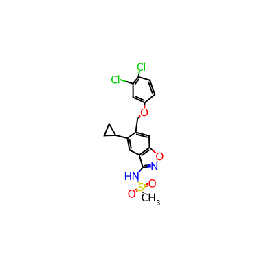 CS(=O)(=O)Nc1noc2cc(COc3ccc(Cl)c(Cl)c3)c(C3CC3)cc12